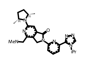 CNCc1nc(N2[C@H](C)CC[C@@H]2C)cc2c1CN(c1cccc(-c3nncn3C(C)C)n1)C2=O